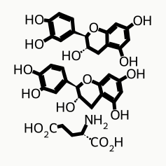 N[C@@H](CCC(=O)O)C(=O)O.Oc1cc(O)c2c(c1)O[C@H](c1ccc(O)c(O)c1)[C@@H](O)C2.Oc1cc(O)c2c(c1)O[C@H](c1ccc(O)c(O)c1)[C@@H](O)C2